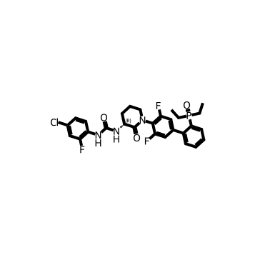 CCP(=O)(CC)c1ccccc1-c1cc(F)c(N2CCC[C@@H](NC(=O)Nc3ccc(Cl)cc3F)C2=O)c(F)c1